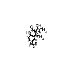 CC(C)N1C(=O)Nc2ccc(C(F)(F)F)cc2P1(C)=O